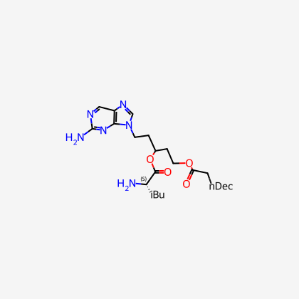 CCCCCCCCCCCC(=O)OCCC(CCn1cnc2cnc(N)nc21)OC(=O)[C@@H](N)C(C)CC